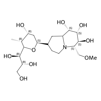 COC[C@H]1[C@H](O)[C@@H](O)[C@@H](O)C2CC([C@@H]3C[C@@H](O)[C@@H](C)C([C@H](O)[C@H](O)CO)O3)CCN21